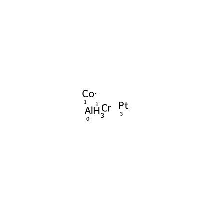 [AlH3].[Co].[Cr].[Pt]